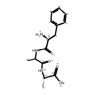 CC(NC(=O)[C@@H](N)Cc1ccccc1)C(=O)N[C@@H](C)C(=O)O